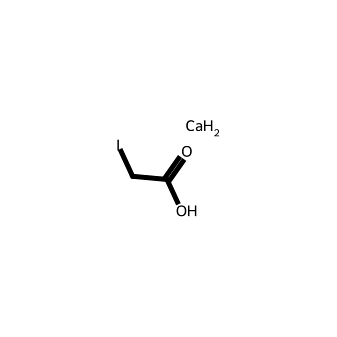 O=C(O)CI.[CaH2]